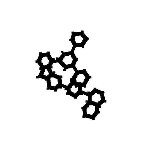 c1ccc(-c2cc(-c3ccccc3)nc(-c3cccc4oc5ccc(-c6ccc(-c7cccc8ccccc78)cc6)cc5c34)n2)cc1